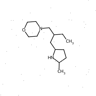 CCC(CC1CCC(C)N1)CN1CCOCC1